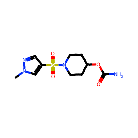 Cn1cc(S(=O)(=O)N2CCC(OC(N)=O)CC2)cn1